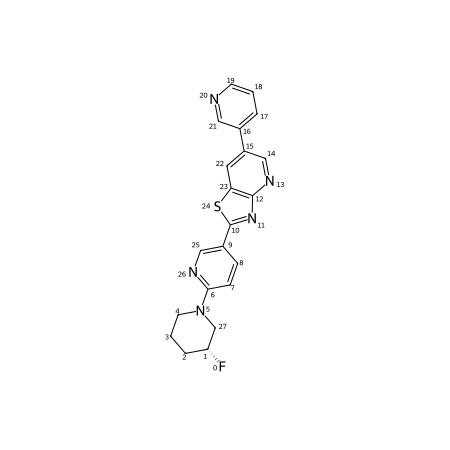 F[C@@H]1CCCN(c2ccc(-c3nc4ncc(-c5cccnc5)cc4s3)cn2)C1